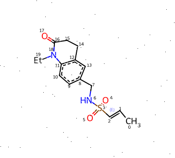 C/C=C/S(=O)(=O)NCc1ccc2c(c1)CCC(=O)N2CC